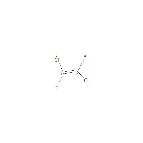 ClC(I)=C(Cl)I